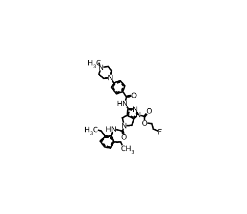 CCc1cccc(CC)c1NC(=O)N1Cc2c(NC(=O)c3ccc(N4CCN(C)CC4)cc3)nn(C(=O)OCCF)c2C1